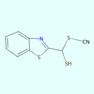 N#CSC(S)c1nc2ccccc2s1